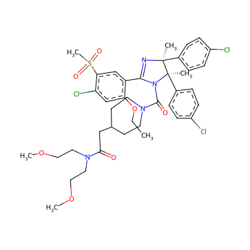 CCOc1cc(Cl)c(S(C)(=O)=O)cc1C1=N[C@@](C)(c2ccc(Cl)cc2)[C@@](C)(c2ccc(Cl)cc2)N1C(=O)N1CCC(CC(=O)N(CCOC)CCOC)CC1